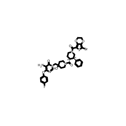 Nc1c(Oc2ccc(F)cc2)ncn(CC2(O)CCN(C(=O)[C@@H]3CCN(C(=O)c4sc(Br)c5c4OCCO5)C[C@H]3c3ccccc3)CC2)c1=O